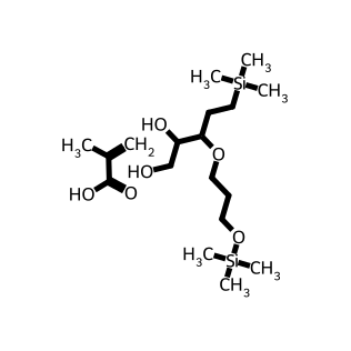 C=C(C)C(=O)O.C[Si](C)(C)CCC(OCCCO[Si](C)(C)C)C(O)CO